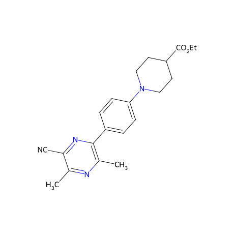 CCOC(=O)C1CCN(c2ccc(-c3nc(C#N)c(C)nc3C)cc2)CC1